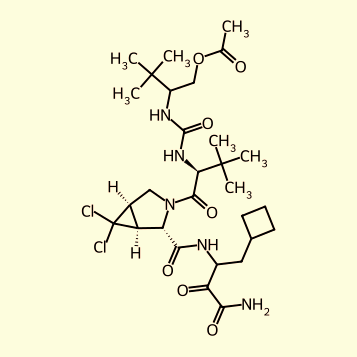 CC(=O)OCC(NC(=O)N[C@H](C(=O)N1C[C@H]2[C@@H]([C@H]1C(=O)NC(CC1CCC1)C(=O)C(N)=O)C2(Cl)Cl)C(C)(C)C)C(C)(C)C